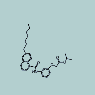 CCCCCCCc1ccc2c(C(=O)Nc3cccc(OCC(=O)OC(C)C)c3)cccc2c1